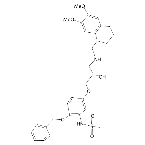 COc1cc2c(cc1OC)C(CNC[C@H](O)COc1ccc(OCc3ccccc3)c(NS(C)(=O)=O)c1)CCC2